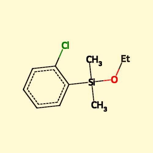 CCO[Si](C)(C)c1ccccc1Cl